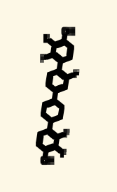 Oc1ccc(-c2ccc(C3=CCC(c4ccc(O)c(F)c4F)CC3)cc2F)c(F)c1F